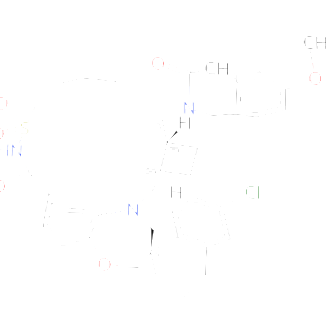 COc1ccc(CN(C(C)=O)[C@H]2CCCCCS(=O)(=O)NC(=O)c3ccc4c(c3)N(C[C@@H]3CC[C@H]32)C[C@@]2(CCCc3cc(Cl)ccc32)CO4)cc1